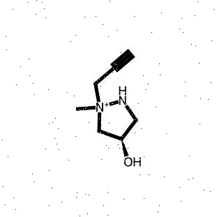 C#CC[N+]1(C)C[C@H](O)CN1